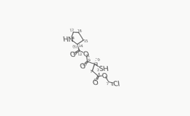 C[C@](S)(CC(=O)OCCl)C(=O)OC(=O)[C@@H]1CCCN1